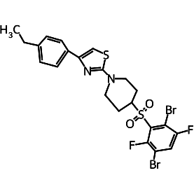 CCc1ccc(-c2csc(N3CCC(S(=O)(=O)c4c(F)c(Br)cc(F)c4Br)CC3)n2)cc1